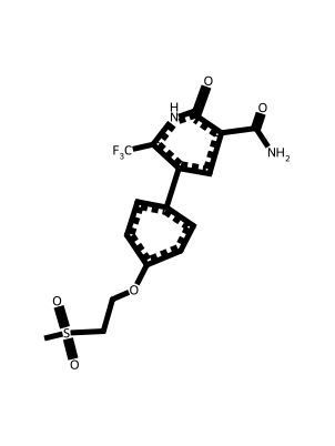 CS(=O)(=O)CCOc1ccc(-c2cc(C(N)=O)c(=O)[nH]c2C(F)(F)F)cc1